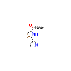 CNC(=O)C1CSC(c2cccnc2)N1